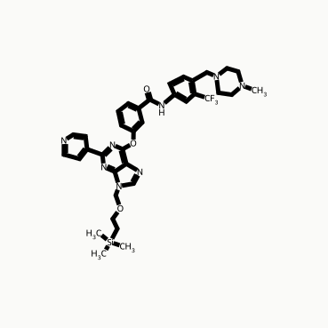 CN1CCN(Cc2ccc(NC(=O)c3cccc(Oc4nc(-c5ccncc5)nc5c4ncn5COCC[Si](C)(C)C)c3)cc2C(F)(F)F)CC1